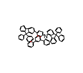 c1ccc(-c2cccc(-c3ccccc3N(c3ccc(-c4ccc5c(c4)C(c4ccccc4)(c4ccccc4)c4ccccc4-5)cc3)c3cccc4c3-c3ccccc3C4(c3ccccc3)c3ccccc3)c2)cc1